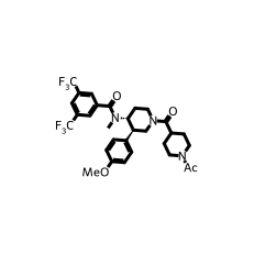 COc1ccc([C@@H]2CN(C(=O)C3CCN(C(C)=O)CC3)CC[C@H]2N(C)C(=O)c2cc(C(F)(F)F)cc(C(F)(F)F)c2)cc1